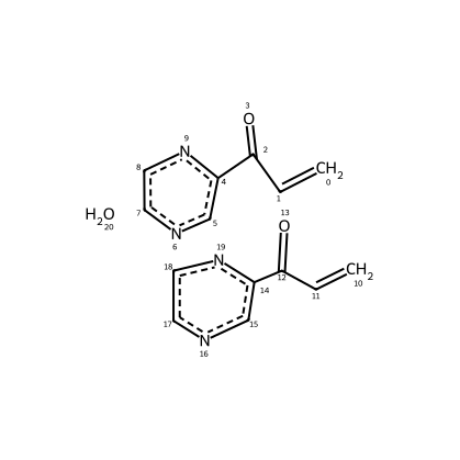 C=CC(=O)c1cnccn1.C=CC(=O)c1cnccn1.O